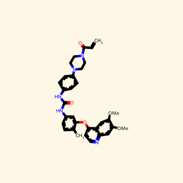 C=CC(=O)N1CCN(c2ccc(NC(=O)Nc3ccc(C)c(Oc4ccnc5cc(OC)c(OC)cc45)c3)cc2)CC1